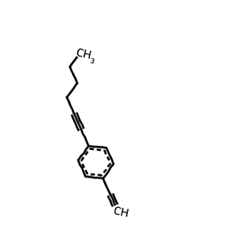 C#Cc1ccc(C#CCCCC)cc1